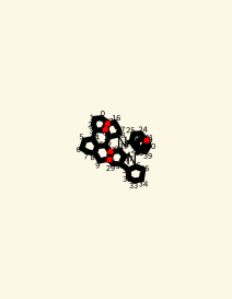 c1ccc(-c2cccc3cccc(-c4ccccc4N(c4ccccc4)c4cccc5c6ccccc6n(-c6ccccc6)c45)c23)cc1